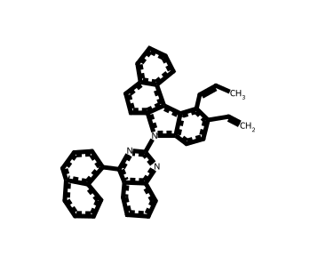 C=Cc1ccc2c(c1/C=C\C)c1c3ccccc3ccc1n2-c1nc(-c2cccc3ccccc23)c2ccccc2n1